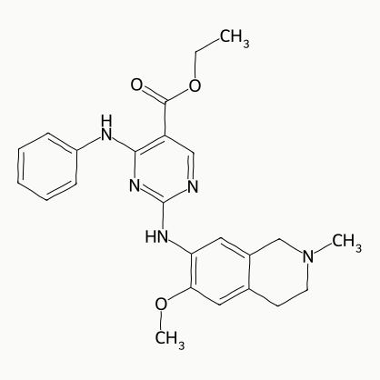 CCOC(=O)c1cnc(Nc2cc3c(cc2OC)CCN(C)C3)nc1Nc1ccccc1